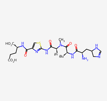 CCC(C)[C@H](NC(=O)[C@H](N)CC1CN=CN1)C(=O)N(C)[C@H](C(=O)Nc1nc(C(=O)N[C@@H](CCC(=O)O)C(=O)O)cs1)C(C)C